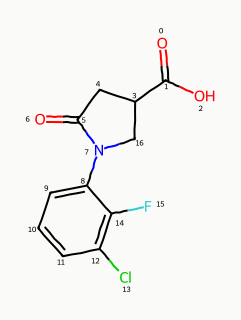 O=C(O)C1CC(=O)N(c2cccc(Cl)c2F)C1